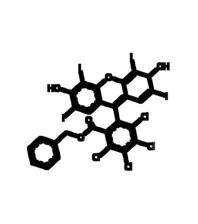 O=C(OCc1ccccc1)c1c(Cl)c(Cl)c(Cl)c(Cl)c1C1=C2C=C(I)C(O)C(I)=C2Oc2c1cc(I)c(O)c2I